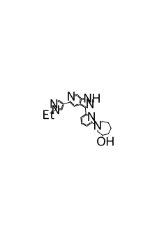 CCn1cc(-c2cc3c(-c4cccc(N5CCCCC(O)C5)n4)n[nH]c3cn2)cn1